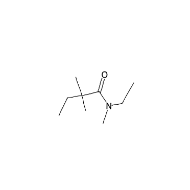 CCN(C)C(=O)C(C)(C)CC